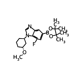 CO[C@@H]1CCC[C@@H](n2cnc3cc(B4OC(C)(C)C(C)(C)O4)cc(F)c32)C1